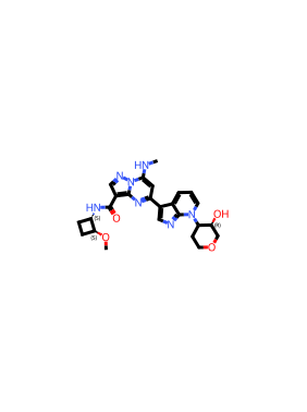 CNc1cc(-c2cnc3n(C4CCOC[C@@H]4O)cccc2-3)nc2c(C(=O)N[C@H]3CC[C@@H]3OC)cnn12